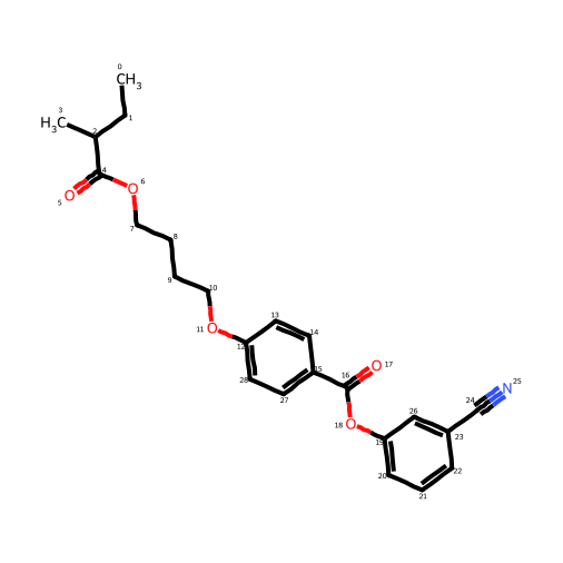 CCC(C)C(=O)OCCCCOc1ccc(C(=O)Oc2cccc(C#N)c2)cc1